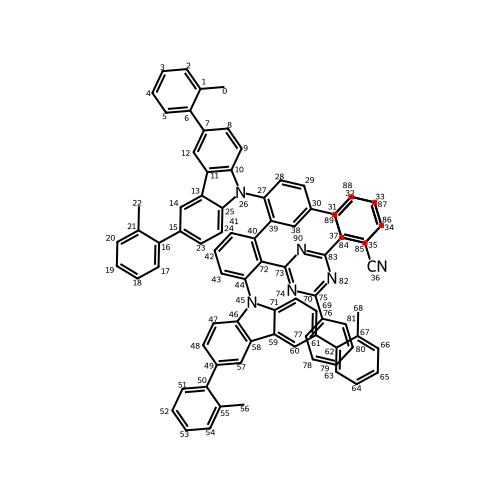 Cc1ccccc1-c1ccc2c(c1)c1cc(-c3ccccc3C)ccc1n2-c1ccc(-c2cccc(C#N)c2)cc1-c1cccc(-n2c3ccc(-c4ccccc4C)cc3c3cc(-c4ccccc4C)ccc32)c1-c1nc(-c2ccccc2)nc(-c2ccccc2)n1